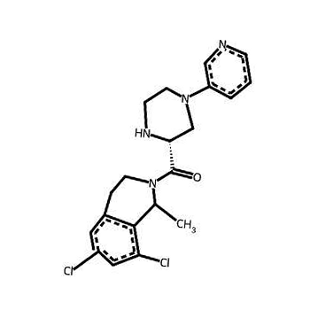 CC1c2c(Cl)cc(Cl)cc2CCN1C(=O)[C@H]1CN(c2cccnc2)CCN1